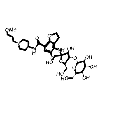 COCCCN1CCC(NC(=O)c2cc(Cl)c(NC3(CO)O[C@H](CO)[C@@H](O[C@H]4O[C@@H](CO)[C@@H](O)[C@@H](O)[C@@H]4O)[C@@H]3O)c3c2OCC3)CC1